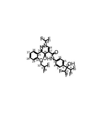 O=C(Nc1ccc(C(O)(C(F)F)C(F)F)cc1)c1cn(C(F)F)nc(-c2ccccc2OCC(F)F)c1=O